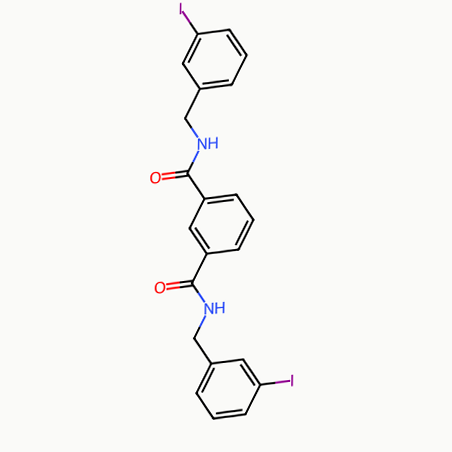 O=C(NCc1cccc(I)c1)c1cccc(C(=O)NCc2cccc(I)c2)c1